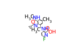 CNC(=O)c1cc(C)cc(C(C)Nc2ccc(F)nc2C(=O)O)c1/N=C/C1CC1